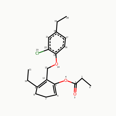 CCC(=O)OC1=CCCC(CC)=C1COc1ccc(CC)cc1Cl